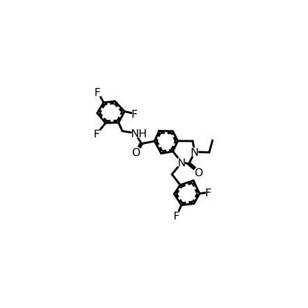 CCN1Cc2ccc(C(=O)NCc3c(F)cc(F)cc3F)cc2N(Cc2cc(F)cc(F)c2)C1=O